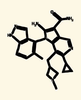 Cc1ccc2[nH]ncc2c1-n1c(N)c(C(N)=O)c2cnc(C3CC3)c(CC3CN(C)C3)c21